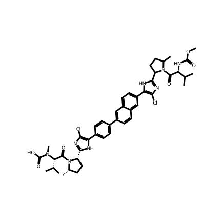 COC(=O)N[C@H](C(=O)N1C(C)CCC1c1nc(Cl)c(-c2ccc3cc(-c4ccc(-c5[nH]c([C@@H]6CC[C@H](C)N6C(=O)[C@H](C(C)C)N(C)C(=O)O)nc5Cl)cc4)ccc3c2)[nH]1)C(C)C